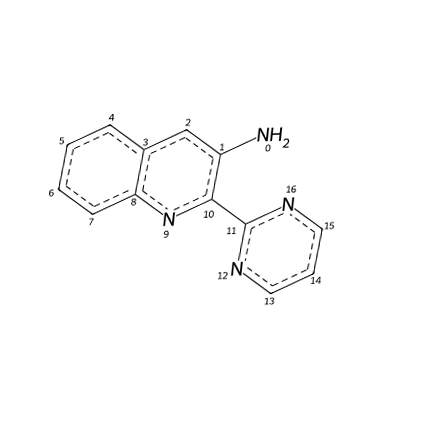 Nc1cc2ccccc2nc1-c1ncccn1